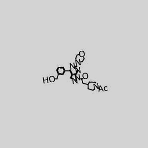 CC(=O)N1CCC(CC(=O)n2ncc3c(-c4cccc(CO)c4)nc(N4CCOCC4)nc32)CC1